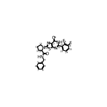 O=C(NCc1ccccc1)C1CCCN1c1nc2c(=O)[nH]c(-c3cccc(F)c3F)nc2s1